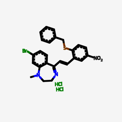 CN1CCN=C(C=Cc2cc([N+](=O)[O-])ccc2SCc2ccccc2)c2ccc(Br)cc21.Cl.Cl